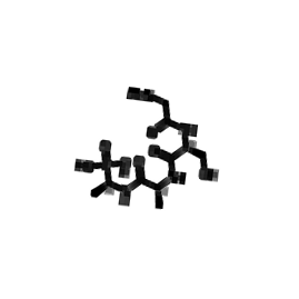 CNCC(=O)N[C@@H](CO)C(=O)N[C@@H](C)C(=O)N[C@@H](C)P(=O)(O)O